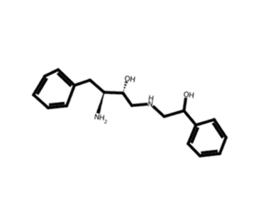 N[C@@H](Cc1ccccc1)[C@H](O)CNCC(O)c1ccccc1